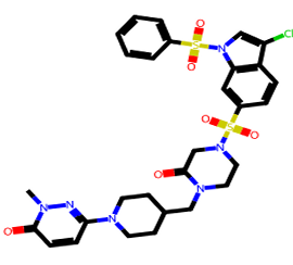 Cn1nc(N2CCC(CN3CCN(S(=O)(=O)c4ccc5c(Cl)cn(S(=O)(=O)c6ccccc6)c5c4)CC3=O)CC2)ccc1=O